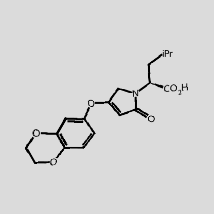 CC(C)C[C@@H](C(=O)O)N1CC(Oc2ccc3c(c2)OCCO3)=CC1=O